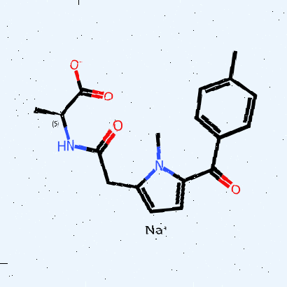 Cc1ccc(C(=O)c2ccc(CC(=O)N[C@@H](C)C(=O)[O-])n2C)cc1.[Na+]